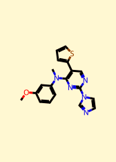 COc1cccc(N(C)c2nc(-n3ccnc3)ncc2-c2cccs2)c1